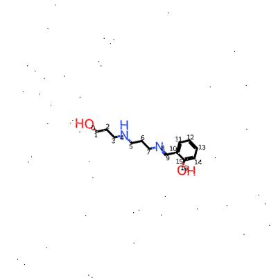 OCCCNCCCN=Cc1ccccc1O